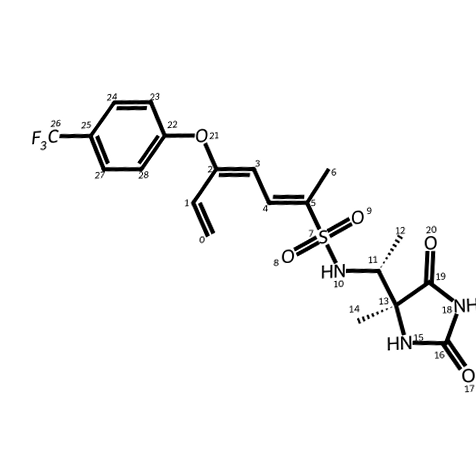 C=C/C(=C\C=C(/C)S(=O)(=O)N[C@H](C)[C@]1(C)NC(=O)NC1=O)Oc1ccc(C(F)(F)F)cc1